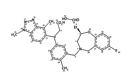 CC[C@@H]1CN(Cc2cc(C(CC(=O)O)c3ccc4c(nnn4C)c3C)ccc2C)Cc2cc(F)ccc2O1.O=CO